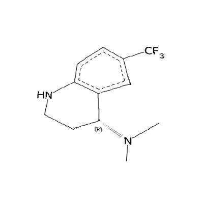 CN(C)[C@@H]1CCNc2ccc(C(F)(F)F)cc21